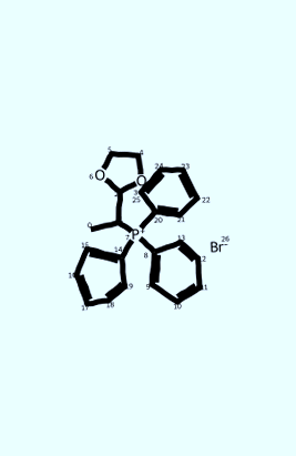 CC(C1OCCO1)[P+](c1ccccc1)(c1ccccc1)c1ccccc1.[Br-]